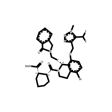 CNC(=O)[C@H]1CCCC[C@H]1C(=O)N1CCc2c(Br)ccc(OCc3nnn(C)c3C(F)F)c2[C@H]1CCN1Cc2ccccc2C1=O